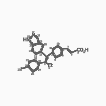 CCC(=C(c1ccc(C=CC(=O)O)cc1)c1ccc2[nH]ncc2c1)c1ccc(F)cc1